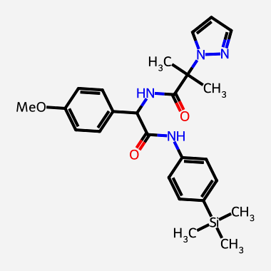 COc1ccc(C(NC(=O)C(C)(C)n2cccn2)C(=O)Nc2ccc([Si](C)(C)C)cc2)cc1